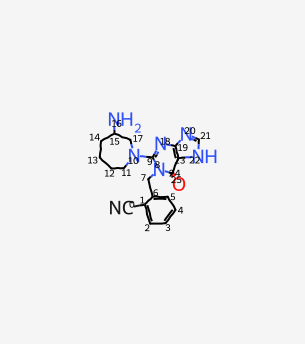 N#Cc1ccccc1Cn1c(N2CCCCC(N)C2)nc2nc[nH]c2c1=O